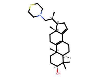 C[C@H](CN1CCSCC1)[C@H]1CC=C2C3=C(CC[C@@]21C)[C@@]1(C)CC[C@H](O)C(C)(C)[C@@H]1CC3